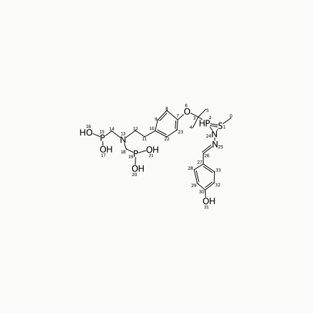 CS1=[PH](C(C)(C)Oc2ccc(CCN(CP(O)O)CP(O)O)cc2)N1N=Cc1ccc(O)cc1